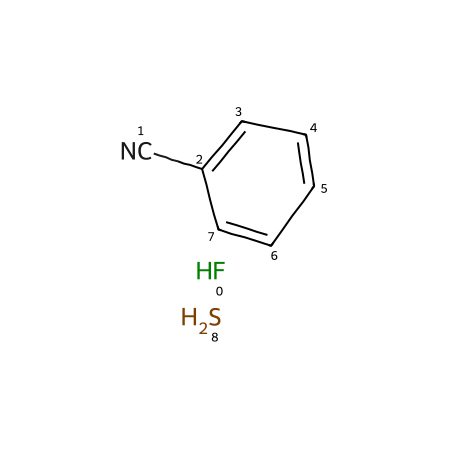 F.N#Cc1ccccc1.S